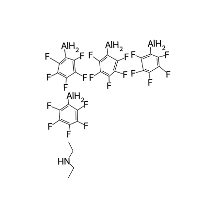 CCNCC.Fc1c(F)c(F)[c]([AlH2])c(F)c1F.Fc1c(F)c(F)[c]([AlH2])c(F)c1F.Fc1c(F)c(F)[c]([AlH2])c(F)c1F.Fc1c(F)c(F)[c]([AlH2])c(F)c1F